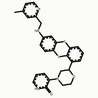 Cc1ccnc(CNc2ccc3c(c2)Sc2cccc(C4CN(c5ccc[nH]c5=O)CCO4)c2S3)c1